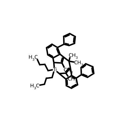 CCC[CH2][Ti]1([CH2]CCC)[CH]2C(C)=C(c3c(-c4ccccc4)cccc32)C(C)(C)C2=C(C)[CH]1c1cccc(-c3ccccc3)c12